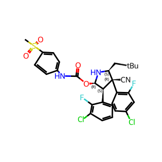 CC(C)(C)C[C@@H]1N[C@H](OC(=O)Nc2ccc(S(C)(=O)=O)cc2)[C@H](c2cccc(Cl)c2F)[C@@]1(C#N)c1ccc(Cl)cc1F